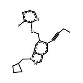 CCC#Cc1cc2cnn(CC3CCC3)c2cc1COc1ncccc1I